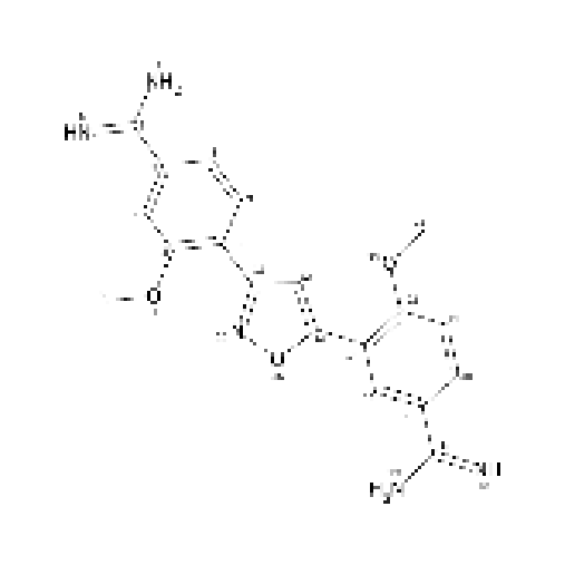 COc1cc(C(=N)N)ccc1-c1cc(-c2cc(C(=N)N)ccc2OC)on1